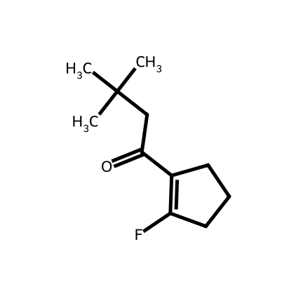 CC(C)(C)CC(=O)C1=C(F)CCC1